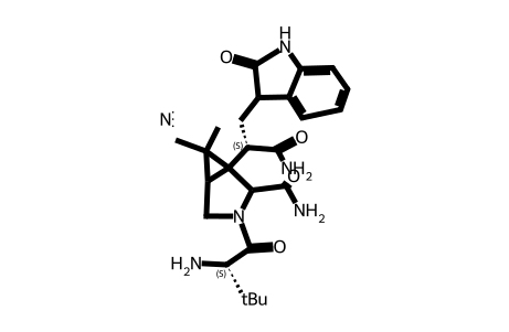 CC(C)(C)[C@H](N)C(=O)N1CC2C(C)(C)C2([C@H](CC2C(=O)Nc3ccccc32)C(N)=O)C1C(N)=O.[N]